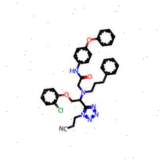 N#CCCn1nnnc1C(COc1ccccc1Cl)N(CCCc1ccccc1)CC(=O)Nc1ccc(Oc2ccccc2)cc1